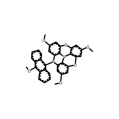 COc1cc2c3c(c1)Oc1cc(OC)cc4c1[Si]3(C)c1c(cc(OC)cc1N4c1c3ccccc3c(OC)c3ccccc13)O2